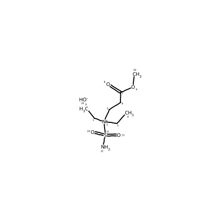 CC[N+](CC)(CCC(=O)OC)S(N)(=O)=O.[OH-]